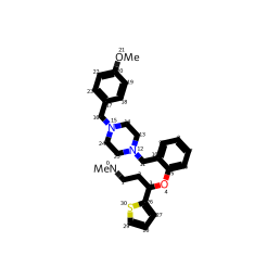 CNCCC(Oc1ccccc1CN1CCN(Cc2ccc(OC)cc2)CC1)c1cccs1